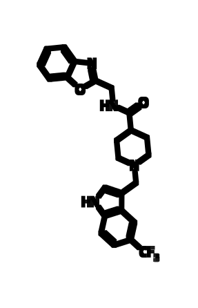 O=C(NCc1nc2ccccc2o1)C1CCN(Cc2c[nH]c3ccc(C(F)(F)F)cc23)CC1